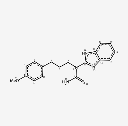 COc1ccc(CCCN(C(N)=S)c2nc3ccccc3[nH]2)cc1